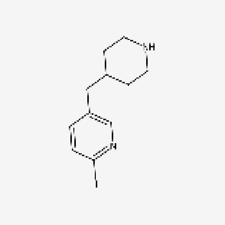 Ic1ccc(CC2CCNCC2)cn1